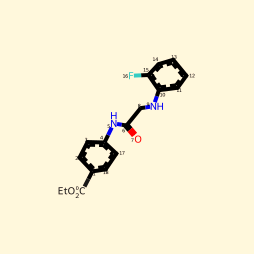 CCOC(=O)c1ccc(NC(=O)CNc2ccccc2F)cc1